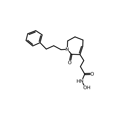 O=C(CCC1=CCCCN(CCCc2ccccc2)C1=O)NO